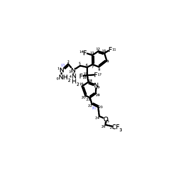 N/N=C\N(N)CC(c1ccc(F)cc1F)C(F)(F)c1ccc(/C=C/COCC(F)(F)F)cn1